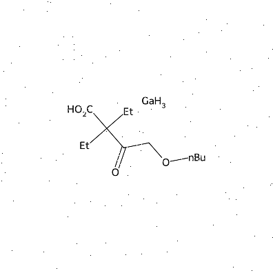 CCCCOCC(=O)C(CC)(CC)C(=O)O.[GaH3]